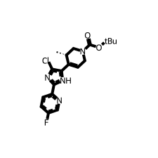 C[C@@H]1CN(C(=O)OC(C)(C)C)CC=C1c1[nH]c(-c2ccc(F)cn2)nc1Cl